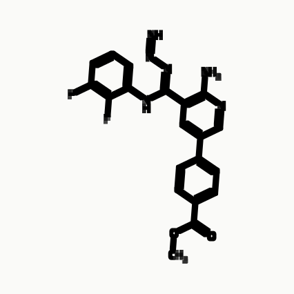 COC(=O)c1ccc(-c2cnc(N)c(/C(=N/N=N)Nc3cccc(F)c3F)c2)cc1